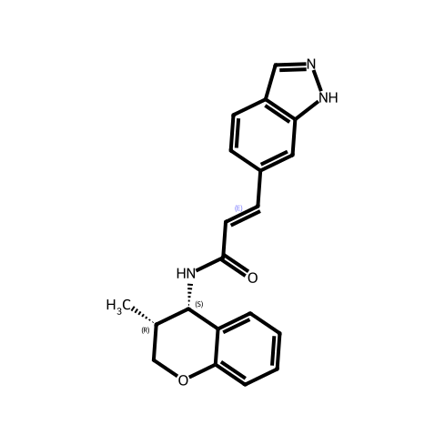 C[C@H]1COc2ccccc2[C@H]1NC(=O)/C=C/c1ccc2cn[nH]c2c1